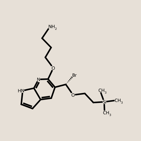 C[Si](C)(C)CCO[C@@H](Br)c1cc2cc[nH]c2nc1OCCCN